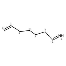 C=CCCCCC=N